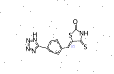 O=C1NC(=S)/C(=C/c2ccc(-c3nnn[nH]3)cc2)S1